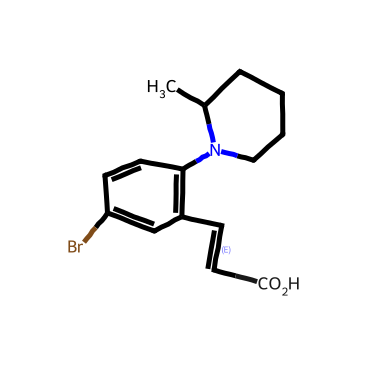 CC1CCCCN1c1ccc(Br)cc1/C=C/C(=O)O